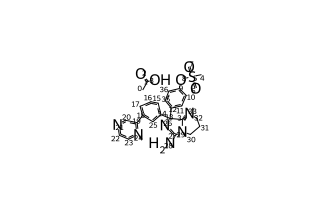 CC(=O)O.CS(=O)(=O)Oc1ccc(C2(c3cccc(-c4cnccn4)c3)N=C(N)N3CCCN=C32)cc1